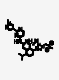 CC(C)c1ccc(N2C[C@H](CS(C)(=O)=O)[C@H]2N)c2cnc(Nc3ccnc(-c4cnn(C)c4)n3)cc12